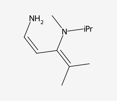 CC(C)=C(/C=C\N)N(C)C(C)C